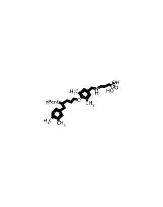 CCCCCC(CCCOc1c(C)cc(CNCCCP(=O)(O)O)cc1C)Cc1ccc(C)c(C)c1